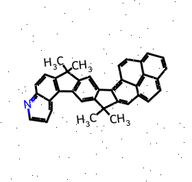 CC1(C)c2cc3c(cc2-c2c1ccc1ncccc21)C(C)(C)c1cc2ccc4cccc5ccc(c1-3)c2c45